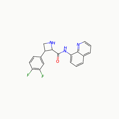 O=C(Nc1cccc2cccnc12)C1NCC1c1ccc(F)c(F)c1